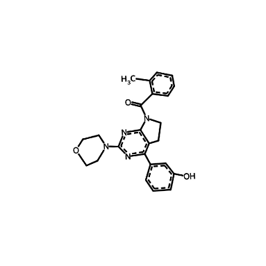 Cc1ccccc1C(=O)N1CCc2c(-c3cccc(O)c3)nc(N3CCOCC3)nc21